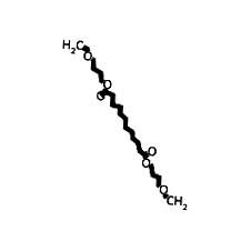 C=COCCCCOC(=O)CCCCCCCCCCC(=O)OCCCCOC=C